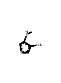 CNc1cscc1N